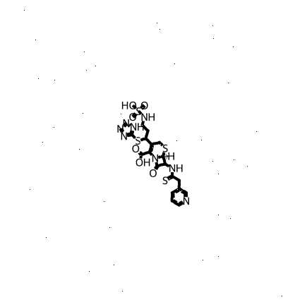 O=C(O)C1=C(C(CCNS(=O)(=O)O)Sc2nnn[nH]2)CS[C@H]2C(NC(=S)Cc3cccnc3)C(=O)N12